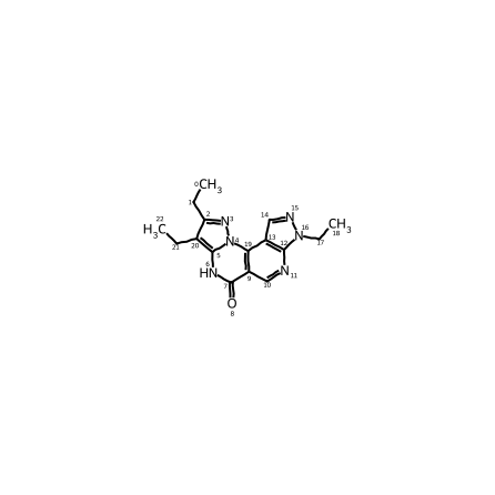 CCc1nn2c([nH]c(=O)c3cnc4c(cnn4CC)c32)c1CC